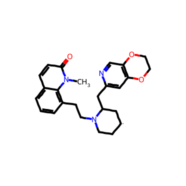 Cn1c(=O)ccc2cccc(CCN3CC[CH]CC3Cc3cc4c(cn3)OCCO4)c21